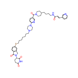 O=C(/C=C/c1cccnc1)NCCCCC1CCN(C(=O)c2ccc(N3CCN(CCCCCCCSc4ccc5c(c4)CN(C4CCC(=O)NC4=O)C5=O)CC3)nc2)CC1